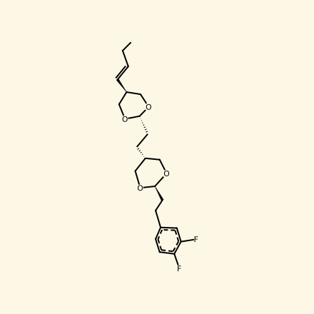 CCC=C[C@H]1CO[C@H](CC[C@H]2CO[C@H](CCc3ccc(F)c(F)c3)OC2)OC1